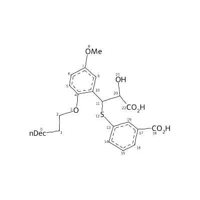 CCCCCCCCCCCCOc1ccc(OC)cc1C(Sc1cccc(C(=O)O)c1)C(O)C(=O)O